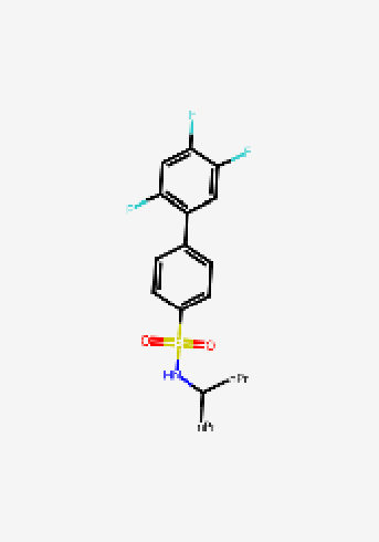 CCCC(CCC)NS(=O)(=O)c1ccc(-c2cc(F)c(F)cc2F)cc1